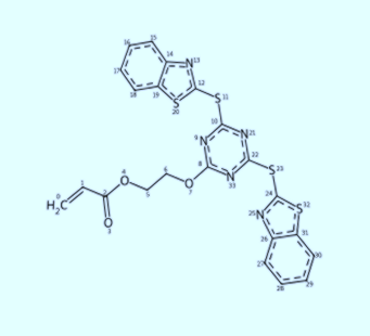 C=CC(=O)OCCOc1nc(Sc2nc3ccccc3s2)nc(Sc2nc3ccccc3s2)n1